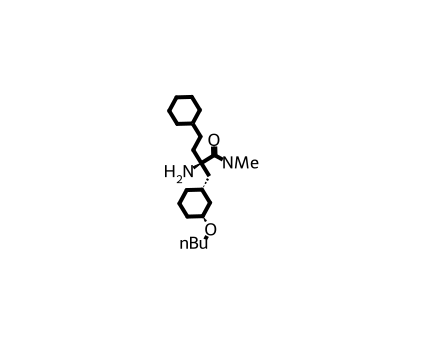 CCCCO[C@@H]1CCC[C@H](C[C@](N)(CCC2CCCCC2)C(=O)NC)C1